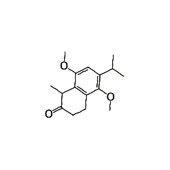 COc1cc(C(C)C)c(OC)c2c1C(C)C(=O)CC2